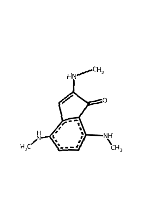 CNC1=Cc2c(NC)ccc(NC)c2C1=O